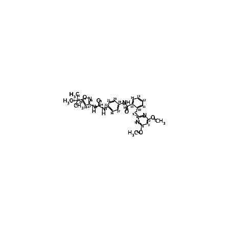 COc1cc(OC)nc(Sc2ccccc2C(=O)Nc2ccc(NC(=O)Nc3cc(C(C)(C)C)on3)cc2)n1